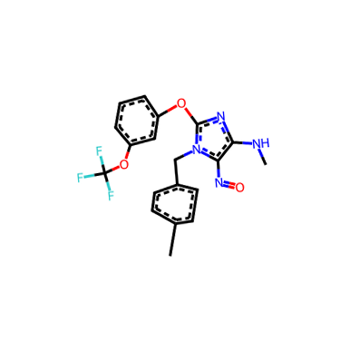 CNc1nc(Oc2cccc(OC(F)(F)F)c2)n(Cc2ccc(C)cc2)c1N=O